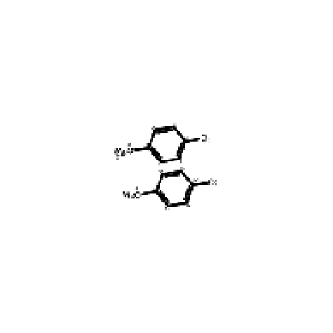 COc1ccc([O-])cc1.COc1ccc([O-])cc1.[Ca+2]